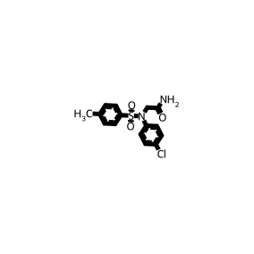 Cc1ccc(S(=O)(=O)N(CC(N)=O)c2ccc(Cl)cc2)cc1